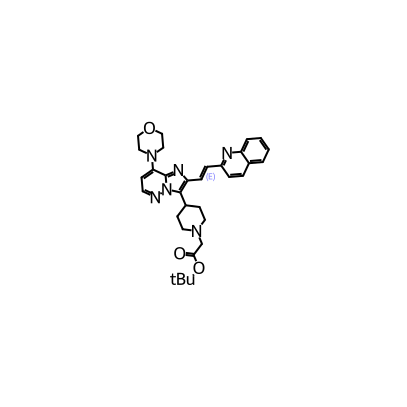 CC(C)(C)OC(=O)CN1CCC(c2c(/C=C/c3ccc4ccccc4n3)nc3c(N4CCOCC4)ccnn23)CC1